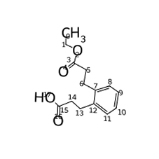 CCOC(=O)CCc1ccccc1CCC(=O)O